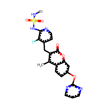 CCNS(=O)(=O)Nc1nccc(Cc2c(C)c3ccc(Oc4ncccn4)cc3oc2=O)c1F